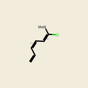 C=C/C=C\C=C(\Cl)NC